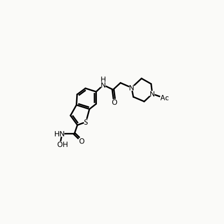 CC(=O)N1CCN(CC(=O)Nc2ccc3cc(C(=O)NO)sc3c2)CC1